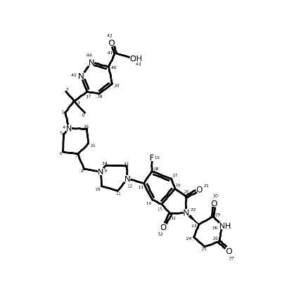 CC(C)(CN1CCC(CN2CCN(c3cc4c(cc3F)C(=O)N([C@@H]3CCC(=O)NC3=O)C4=O)CC2)CC1)c1ccc(C(=O)O)nn1